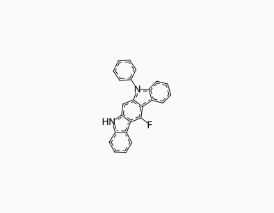 Fc1c2c(cc3c1c1ccccc1n3-c1ccccc1)[nH]c1ccccc12